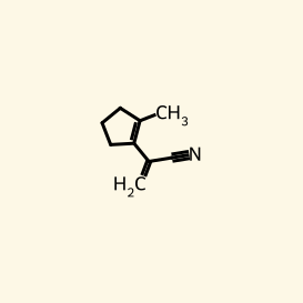 C=C(C#N)C1=C(C)CCC1